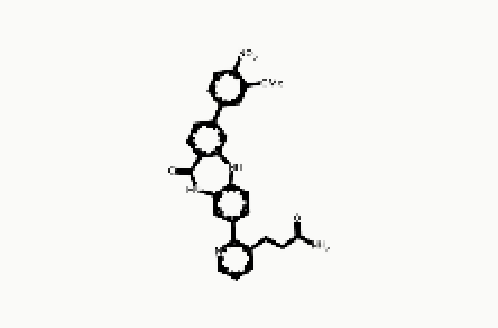 COc1cc(-c2ccc3c(c2)Nc2ccc(-c4ncccc4CCC(N)=O)cc2NC3=O)ccc1[N+](=O)[O-]